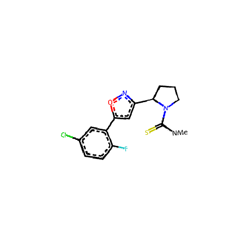 CNC(=S)N1CCCC1c1cc(-c2cc(Cl)ccc2F)on1